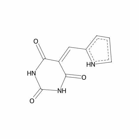 O=C1NC(=O)C(=Cc2ccc[nH]2)C(=O)N1